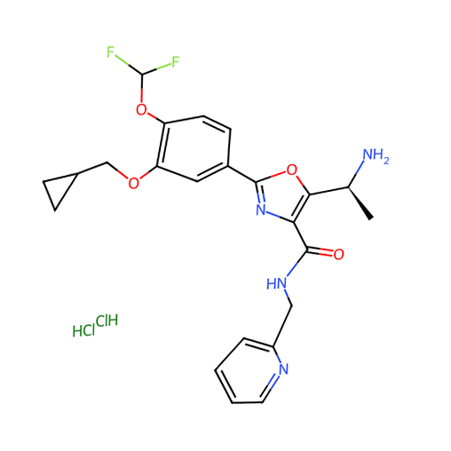 C[C@H](N)c1oc(-c2ccc(OC(F)F)c(OCC3CC3)c2)nc1C(=O)NCc1ccccn1.Cl.Cl